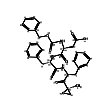 C[C@]1(C(=O)[C@H](Cc2ccccc2)NC(=O)[C@H](Cc2ccccc2)NC(=O)[C@H](CC(=O)O)NC(=O)OCc2ccccc2)CO1